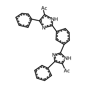 CC(=O)c1[nH]c(-c2cccc(-c3nc(-c4ccccc4)c(C(C)=O)[nH]3)c2)nc1-c1ccccc1